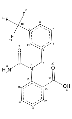 NC(=O)N(Cc1cccc(C(F)(F)F)c1)c1ccccc1C(=O)O